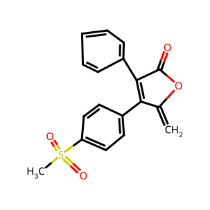 C=C1OC(=O)C(c2ccccc2)=C1c1ccc(S(C)(=O)=O)cc1